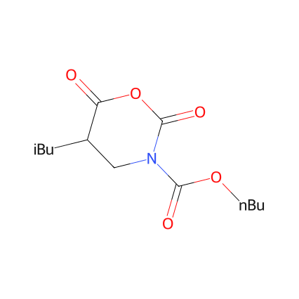 CCCCOC(=O)N1CC(C(C)CC)C(=O)OC1=O